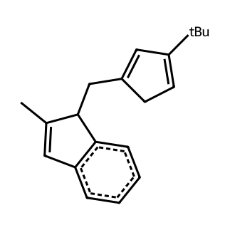 CC1=Cc2ccccc2C1CC1=CC(C(C)(C)C)=CC1